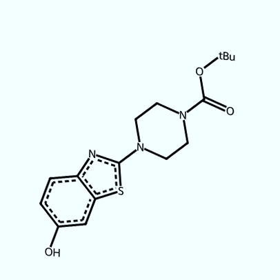 CC(C)(C)OC(=O)N1CCN(c2nc3ccc(O)cc3s2)CC1